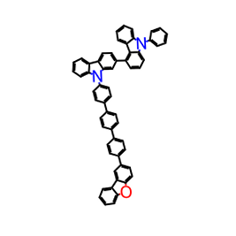 c1ccc(-n2c3ccccc3c3c(-c4ccc5c6ccccc6n(-c6ccc(-c7ccc(-c8ccc(-c9ccc%10oc%11ccccc%11c%10c9)cc8)cc7)cc6)c5c4)cccc32)cc1